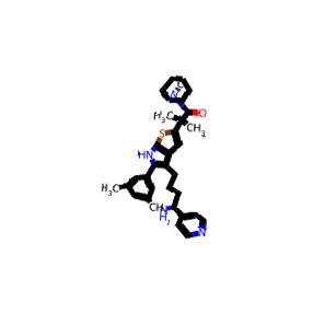 Cc1cc(C)cc(-c2[nH]c3sc(C(C)(C)C(=O)N4CC5CCC4CC5)cc3c2CCCC(N)c2ccncc2)c1